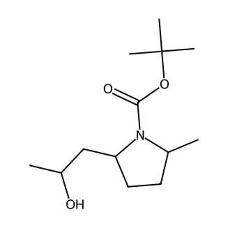 CC(O)CC1CCC(C)N1C(=O)OC(C)(C)C